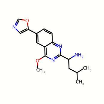 COc1nc(C(N)CC(C)C)nc2ccc(-c3cnco3)cc12